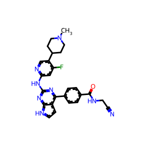 CN1CCC(c2cnc(Nc3nc(-c4ccc(C(=O)NCC#N)cc4)c4cc[nH]c4n3)cc2F)CC1